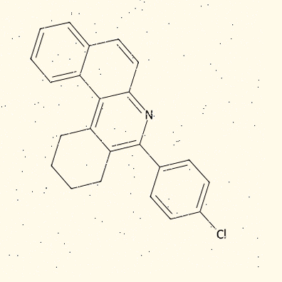 Clc1ccc(-c2nc3ccc4ccccc4c3c3c2CCCC3)cc1